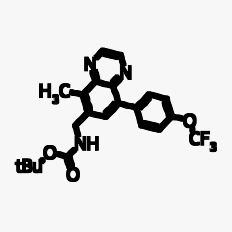 Cc1c(CNC(=O)OC(C)(C)C)cc(-c2ccc(OC(F)(F)F)cc2)c2nccnc12